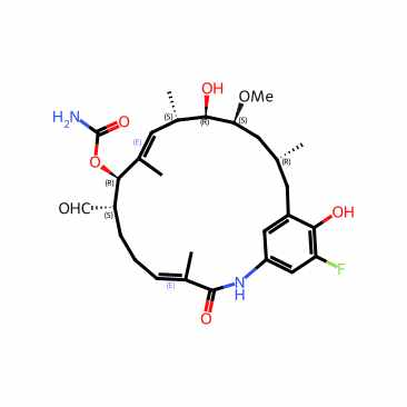 CO[C@H]1C[C@H](C)Cc2cc(cc(F)c2O)NC(=O)/C(C)=C/CC[C@H](C=O)[C@@H](OC(N)=O)/C(C)=C/[C@H](C)[C@H]1O